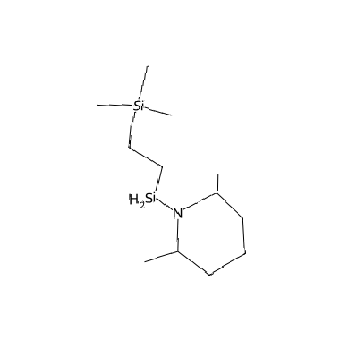 CC1CCCC(C)N1[SiH2]CC[Si](C)(C)C